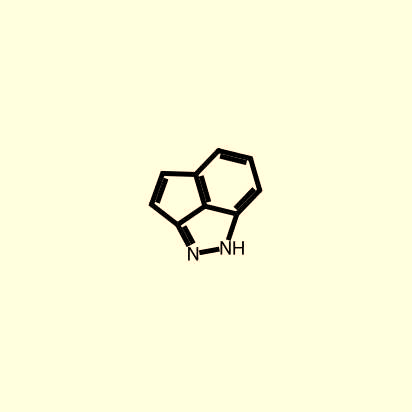 C1=Cc2n[nH]c3cccc1c23